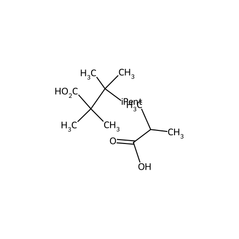 CC(C)C(=O)O.CCCC(C)C(C)(C)C(C)(C)C(=O)O